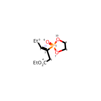 CC/C=C(/CC(=O)OCC)P1(=O)OCCO1